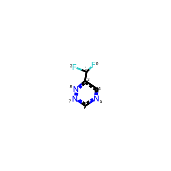 FC(F)c1[c]ncnn1